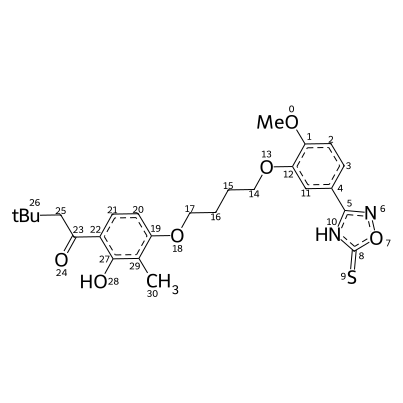 COc1ccc(-c2noc(=S)[nH]2)cc1OCCCCOc1ccc(C(=O)CC(C)(C)C)c(O)c1C